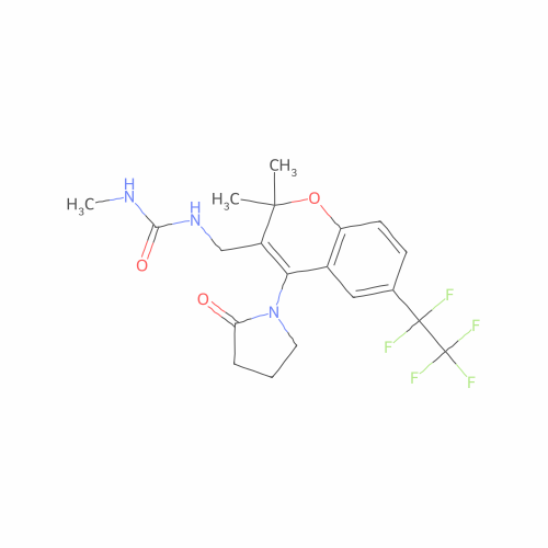 CNC(=O)NCC1=C(N2CCCC2=O)c2cc(C(F)(F)C(F)(F)F)ccc2OC1(C)C